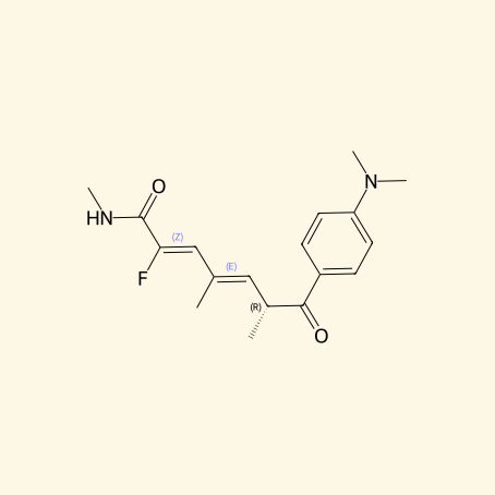 CNC(=O)/C(F)=C/C(C)=C/[C@@H](C)C(=O)c1ccc(N(C)C)cc1